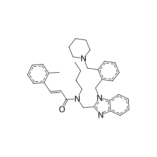 CCCCN(Cc1nc2ccccc2n1Cc1ccccc1CN1CCCCC1)C(=O)C=Cc1ccccc1C